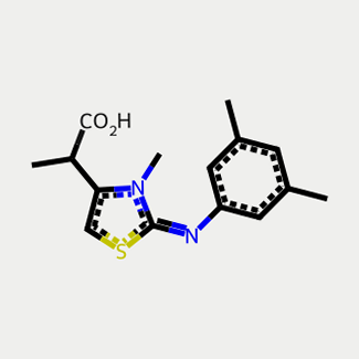 Cc1cc(C)cc(/N=c2/scc(C(C)C(=O)O)n2C)c1